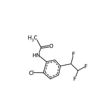 CC(=O)Nc1cc(C(F)C(F)F)ccc1Cl